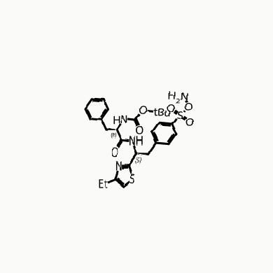 CCc1csc([C@H](Cc2ccc(S(=O)(=O)ON)cc2)NC(=O)[C@@H](Cc2ccccc2)NC(=O)OC(C)(C)C)n1